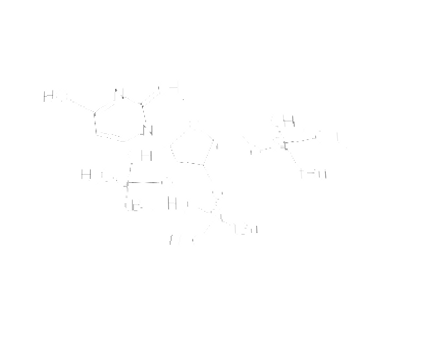 C=C1N=C(O)C=CN1[C@@H]1O[C@H](CO[Si](C)(C)C(C)(C)C)C(O[Si](C)(C)C(C)(C)C)[C@@H]1O[Si](C)(C)C(C)(C)C